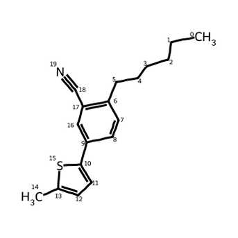 CCCCCCc1ccc(-c2ccc(C)s2)cc1C#N